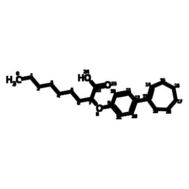 CCCCCCCC(Oc1ccc(C2=CCCCCC2)cc1)C(=O)O